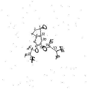 O=C1CCc2cc(OC(F)C(F)F)c(OC(F)C(F)F)cc21